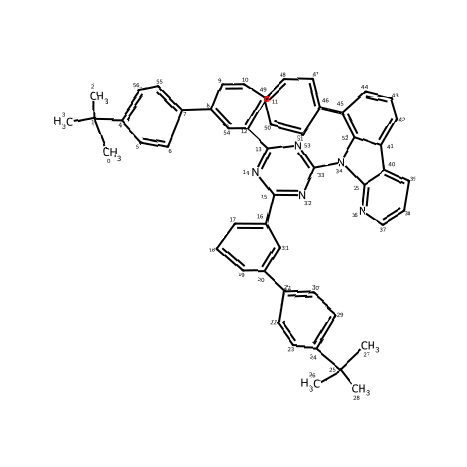 CC(C)(C)c1ccc(-c2cccc(-c3nc(-c4cccc(-c5ccc(C(C)(C)C)cc5)c4)nc(-n4c5ncccc5c5cccc(-c6ccccc6)c54)n3)c2)cc1